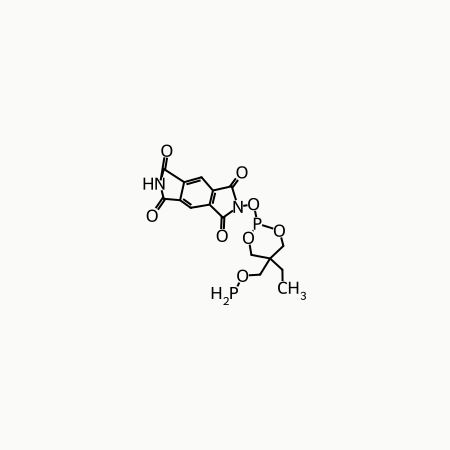 CCC1(COP)COP(On2c(=O)c3cc4c(=O)[nH]c(=O)c4cc3c2=O)OC1